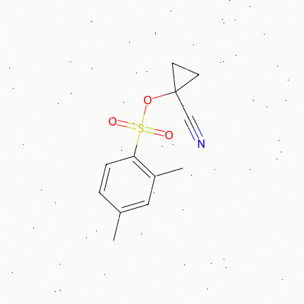 Cc1ccc(S(=O)(=O)OC2(C#N)CC2)c(C)c1